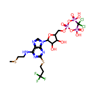 CSCCNc1nc(SCCC(F)(F)F)nc2c1ncn2C1OC(COP2(=O)OP(=O)(O)C(Cl)(Cl)P(=O)(O)O2)C(O)C1O